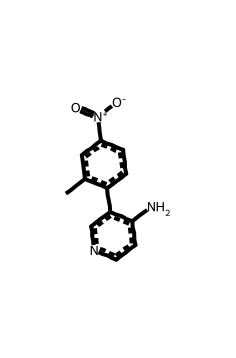 Cc1cc([N+](=O)[O-])ccc1-c1cnccc1N